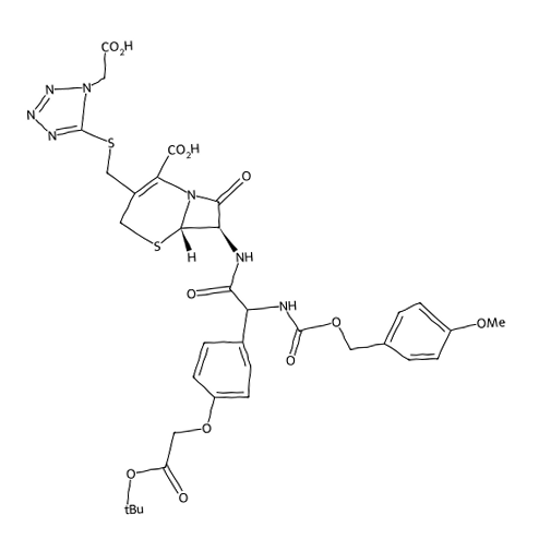 COc1ccc(COC(=O)NC(C(=O)N[C@@H]2C(=O)N3C(C(=O)O)=C(CSc4nnnn4CC(=O)O)CS[C@@H]23)c2ccc(OCC(=O)OC(C)(C)C)cc2)cc1